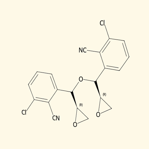 N#Cc1c(Cl)cccc1C(OC(c1cccc(Cl)c1C#N)[C@H]1CO1)[C@H]1CO1